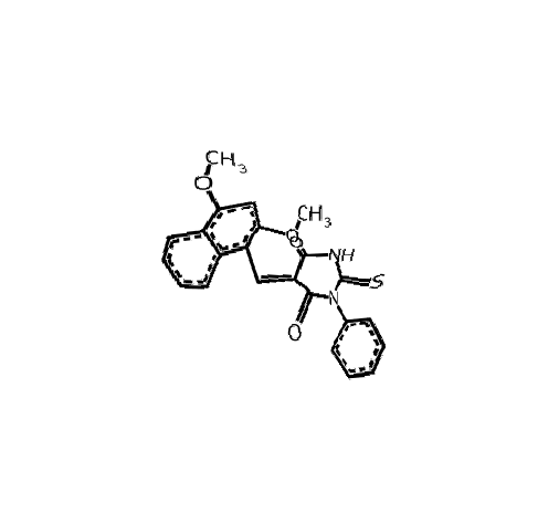 COc1cc(OC)c2ccccc2c1/C=C1\C(=O)NC(=S)N(c2ccccc2)C1=O